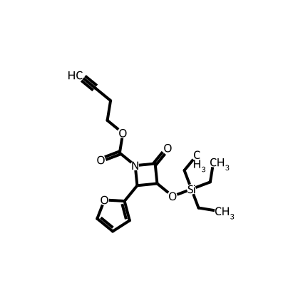 C#CCCOC(=O)N1C(=O)C(O[Si](CC)(CC)CC)C1c1ccco1